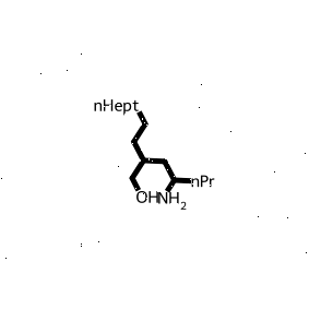 CCCCCCCCCC(CO)CC(N)CCC